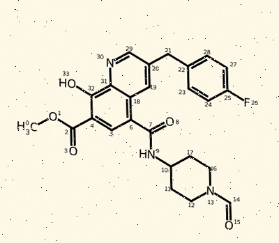 COC(=O)c1cc(C(=O)NC2CCN(C=O)CC2)c2cc(Cc3ccc(F)cc3)cnc2c1O